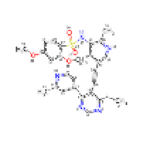 CCc1ncnc(-c2ccnc(C)c2)c1C#Cc1cnc(C)c(NS(=O)(=O)c2ccc(OC)cc2OC)c1